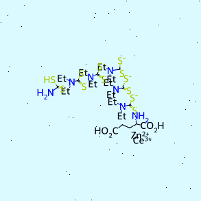 CCN(CC)C(=S)[S-].CCN(CC)C(=S)[S-].CCN(CC)C(=S)[S-].CCN(CC)C(=S)[S-].CCN(CC)C(=S)[S-].NC(=S)S.NC(CCC(=O)O)C(=O)O.[Ce+3].[Zn+2]